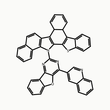 C1=CC2c3c(sc4ccccc34)-c3c(c4ccc5ccccc5c4n3-c3nc(-c4cnc5ccccc5c4)c4oc5ccccc5c4n3)C2C=C1